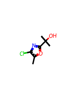 Cc1oc(C(C)(C)O)nc1Cl